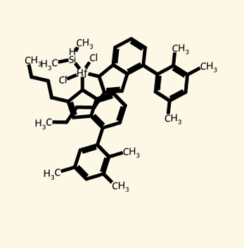 CCCCC1=Cc2c(-c3cc(C)cc(C)c3C)cccc2[CH]1[Hf]([Cl])([Cl])([CH]1C(CCCC)=Cc2c(-c3cc(C)cc(C)c3C)cccc21)[SiH](C)C